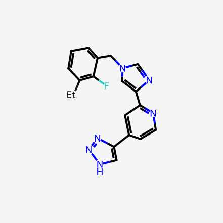 CCc1cccc(Cn2cnc(-c3cc(-c4c[nH]nn4)ccn3)c2)c1F